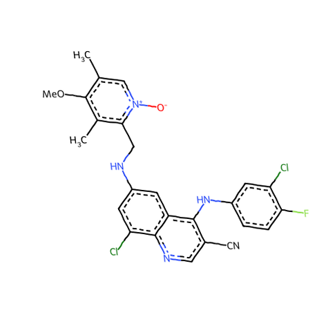 COc1c(C)c[n+]([O-])c(CNc2cc(Cl)c3ncc(C#N)c(Nc4ccc(F)c(Cl)c4)c3c2)c1C